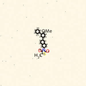 C=C1SC(=O)N(c2ccc3cc(-c4ccc(OC)c(-c5ccccc5)c4)ccc3c2)C1=O